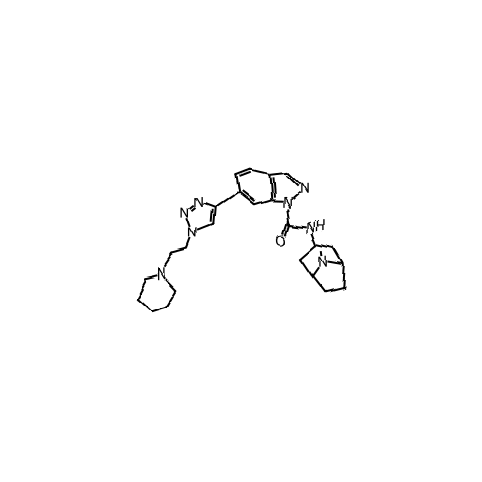 CN1C2CCC1CC(NC(=O)n1ncc3ccc(-c4cn(CCN5CCCCC5)nn4)cc31)C2